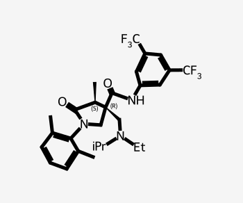 CCN(C[C@@]1(C(=O)Nc2cc(C(F)(F)F)cc(C(F)(F)F)c2)CN(c2c(C)cccc2C)C(=O)[C@H]1C)C(C)C